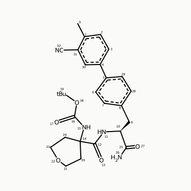 Cc1ccc(-c2ccc(C[C@H](NC(=O)C3(NC(=O)OC(C)(C)C)CCOCC3)C(N)=O)cc2)cc1C#N